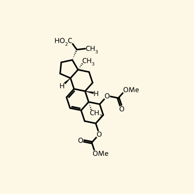 COC(=O)OC1CC2=CC=C3[C@@H]4CC[C@H](C(C)C(=O)O)[C@@]4(C)CC[C@@H]3[C@@]2(C)C(OC(=O)OC)C1